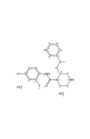 Cl.Cl.O=C(Nc1ccc(F)cc1F)N1CCNCC1COc1cccnc1